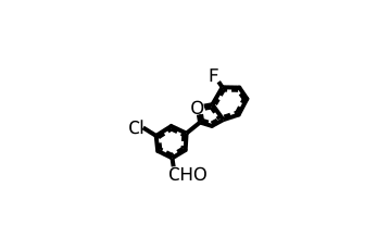 O=Cc1cc(Cl)cc(-c2cc3cccc(F)c3o2)c1